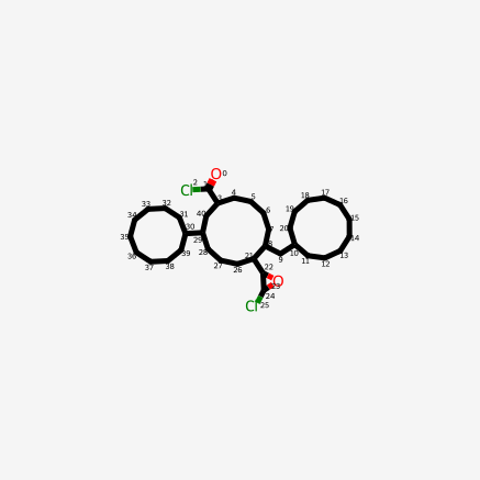 O=C(Cl)C1CCCCC(CC2CCCCCCCCCC2)C(C2OC2Cl)CCCC(C2CCCCCCCCC2)C1